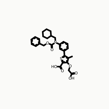 Cc1c(-c2cccc(N(CC3CCCCC3)C(=O)OCc3ccccc3)c2)sc(C(=O)O)c1OCC(=O)O